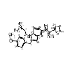 CCN(CC)CCn1c(Cc2ccc(OC(F)(F)F)cc2)cc2cc(NC(=N)c3cccs3)ccc21